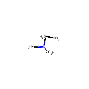 CCCN([SiH2][SiH3])C(=O)O